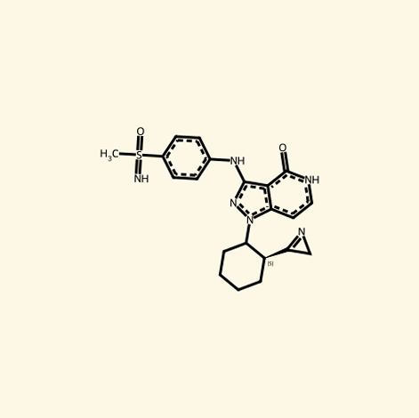 CS(=N)(=O)c1ccc(Nc2nn(C3CCCC[C@@H]3C3=NC3)c3cc[nH]c(=O)c23)cc1